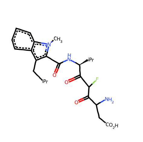 CC(C)Cc1c(C(=O)N[C@H](C(=O)C(F)C(=O)C(N)CC(=O)O)C(C)C)n(C)c2ccccc12